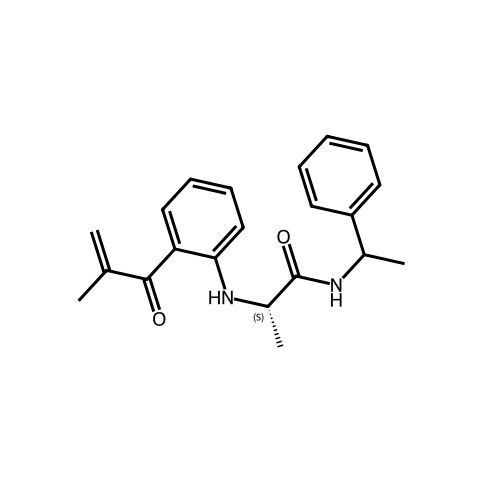 C=C(C)C(=O)c1ccccc1N[C@@H](C)C(=O)NC(C)c1ccccc1